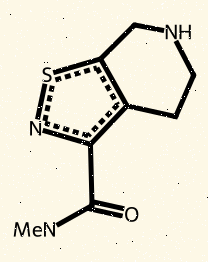 CNC(=O)c1nsc2c1CCNC2